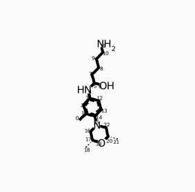 Cc1cc(NC(O)CCCCN)ccc1N1C[C@@H](C)O[C@@H](C)C1